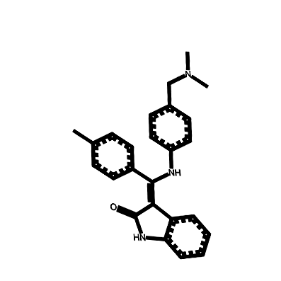 Cc1ccc(C(Nc2ccc(CN(C)C)cc2)=C2C(=O)Nc3ccccc32)cc1